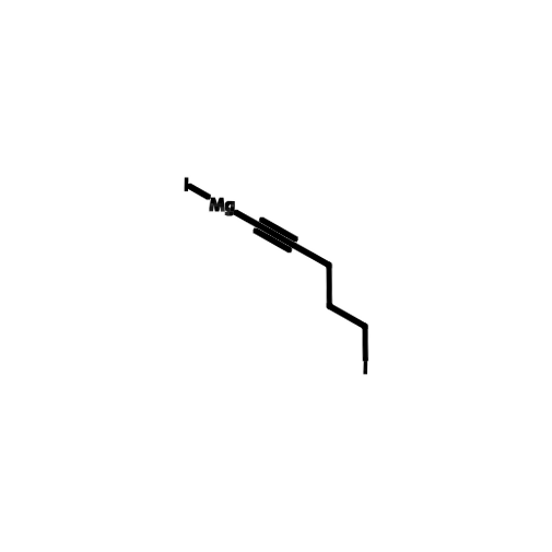 ICCCC#[C][Mg][I]